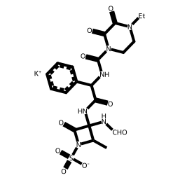 CCN1CCN(C(=O)NC(C(=O)NC2(NC=O)C(=O)N(S(=O)(=O)[O-])C2C)c2ccccc2)C(=O)C1=O.[K+]